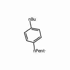 CCCC[CH]c1ccc(CCCC)cc1